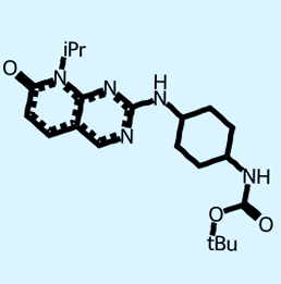 CC(C)n1c(=O)ccc2cnc(NC3CCC(NC(=O)OC(C)(C)C)CC3)nc21